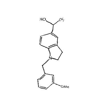 COc1cccc(CN2CCc3cc(C(C)O)ccc32)c1